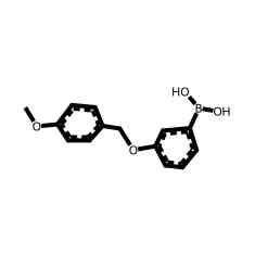 COc1ccc(COc2cccc(B(O)O)c2)cc1